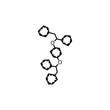 c1ccc(CC(Oc2ccc(OC(Cc3ccccc3)c3ccccc3)cc2)c2ccccc2)cc1